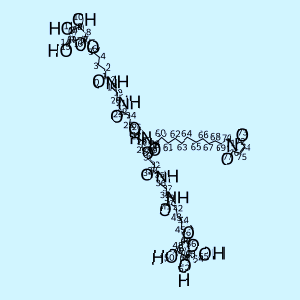 O=C(CCCCO[C@H]1C[C@@H](O)[C@@H](O)[C@@H](CO)O1)NCCCNC(=O)CCOCC(COCCC(=O)NCCCNC(=O)CCCCO[C@H]1C[C@@H](O)[C@@H](O)[C@@H](CO)O1)NC(=O)CCCCCCCCCCCN1C(=O)C=CC1=O